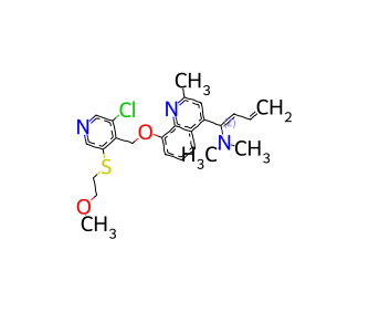 C=C/C=C(/c1cc(C)nc2c(OCc3c(Cl)cncc3SCCOC)cccc12)N(C)C